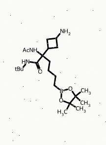 CC(=O)NC(CCCCB1OC(C)(C)C(C)(C)O1)(C(=O)NC(C)(C)C)C1CC(N)C1